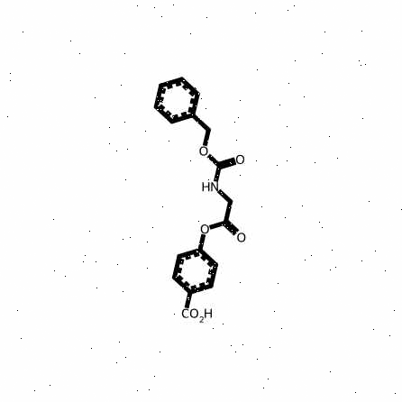 O=C(CNC(=O)OCc1ccccc1)Oc1ccc(C(=O)O)cc1